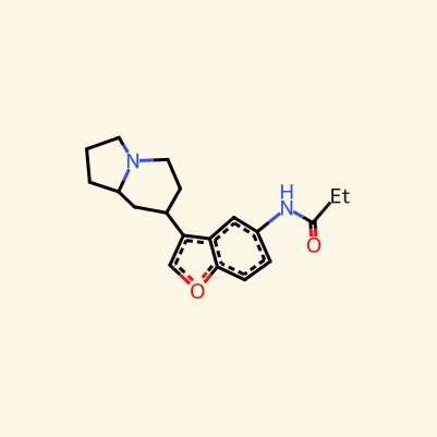 CCC(=O)Nc1ccc2occ(C3CCN4CCCC4C3)c2c1